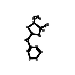 CC1CC(Oc2ccccc2)CN1I